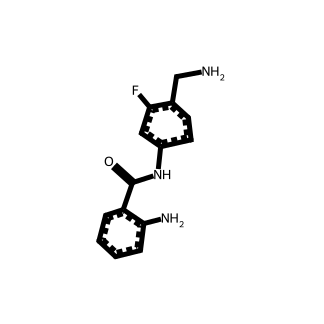 NCc1ccc(NC(=O)c2ccccc2N)cc1F